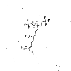 CC(C)=CCC/C(C)=C/CCC(C)(OCC(F)(F)F)OCC(F)(F)F